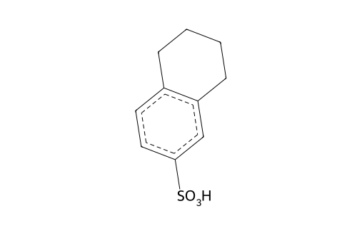 O=S(=O)(O)c1ccc2c(c1)CCCC2